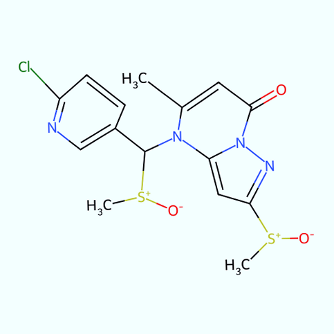 Cc1cc(=O)n2nc([S+](C)[O-])cc2n1C(c1ccc(Cl)nc1)[S+](C)[O-]